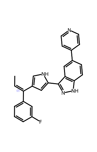 C/C=C(/c1cccc(F)c1)c1c[nH]c(-c2n[nH]c3ccc(-c4ccncc4)cc23)c1